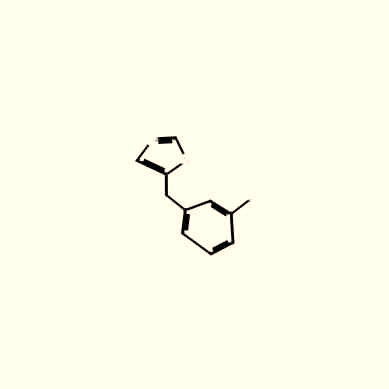 Ic1cccc(Cc2cnc[nH]2)c1